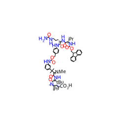 CN[C@@H](C(=O)N[C@H](C(=O)N(C)[C@H](/C=C(\C)C(=O)O)C(C)C)C(C)(C)C)C(C)(C)c1cccc(NC(=O)OCc2ccc(NC(=O)[C@H](CCCNC(N)=O)NC(=O)[C@@H](NC(=O)OCC3c4ccccc4-c4ccccc43)C(C)C)cc2)c1